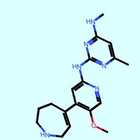 CNc1cc(C)nc(Nc2cc(C3=CCNCCC3)c(OC)cn2)n1